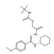 CSc1ccc(C(=O)N[C@H]2CCCC[C@H]2NC(=O)COC(=O)NC(C)(C)C)cc1